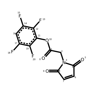 O=C(CN1C(=O)C=CC1=O)Oc1c(F)c(F)cc(F)c1F